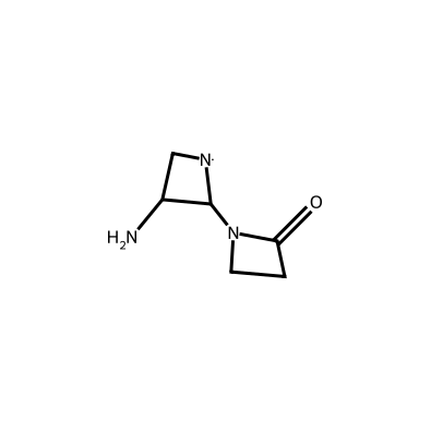 NC1C[N]C1N1CCC1=O